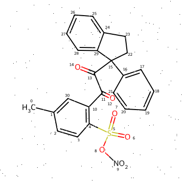 Cc1ccc(S(=O)(=O)O[N+](=O)[O-])c(C(=O)C(=O)C2(c3ccccc3)CCc3ccccc32)c1